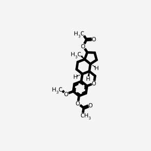 COc1cc2c(cc1OC(C)=O)OC[C@@H]1[C@@H]2CC[C@]2(C)C(OC(C)=O)CC[C@@H]12